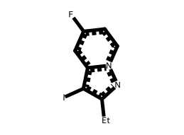 CCc1nn2ccc(F)cc2c1I